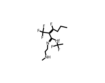 CCC/C(F)=C(\[C](=NCCNC)[Hf][C](C)(F)F)C(F)(F)F